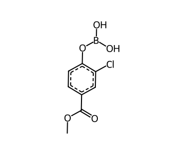 COC(=O)c1ccc(OB(O)O)c(Cl)c1